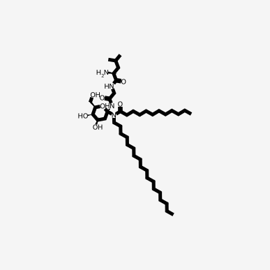 CCCCCCCCCCCCCCCCCCN(C(=O)CCCCCCCCCCC)[C@@]1(NC(=O)CNC(=O)[C@@H](N)CC(C)C)C[C@@H](O)[C@H](O)[C@@H](CO)O1